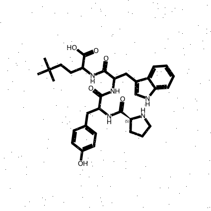 CC(C)(C)CCC(NC(=O)C(Cc1c[nH]c2ccccc12)NC(=O)C(Cc1ccc(O)cc1)NC(=O)[C@@H]1CCCN1)C(=O)O